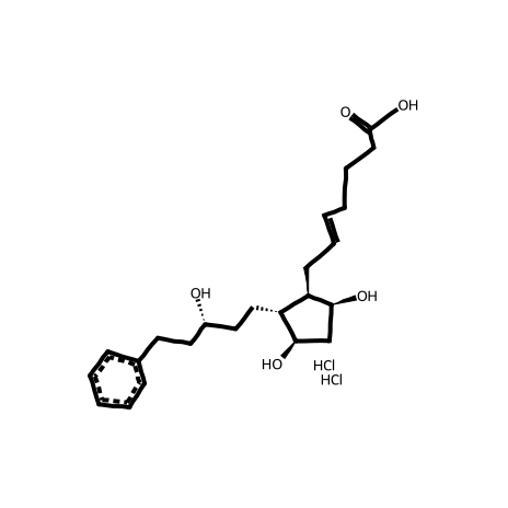 Cl.Cl.O=C(O)CCCC=CC[C@@H]1[C@@H](CC[C@@H](O)CCc2ccccc2)[C@H](O)C[C@@H]1O